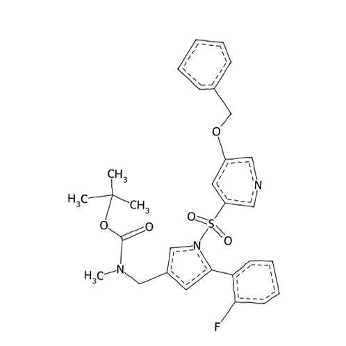 CN(Cc1cc(-c2ccccc2F)n(S(=O)(=O)c2cncc(OCc3ccccc3)c2)c1)C(=O)OC(C)(C)C